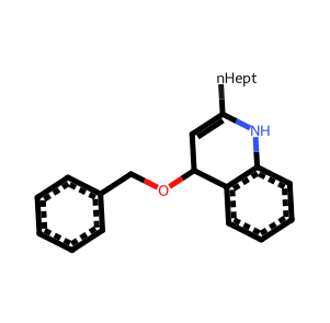 CCCCCCCC1=CC(OCc2ccccc2)c2ccccc2N1